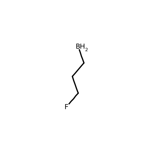 BCCCF